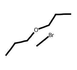 CBr.CCCOCCC